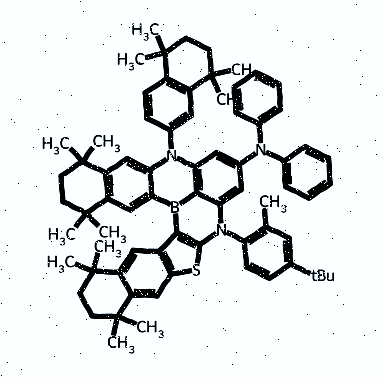 Cc1cc(C(C)(C)C)ccc1N1c2cc(N(c3ccccc3)c3ccccc3)cc3c2B(c2cc4c(cc2N3c2ccc3c(c2)C(C)(C)CCC3(C)C)C(C)(C)CCC4(C)C)c2c1sc1cc3c(cc21)C(C)(C)CCC3(C)C